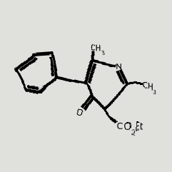 CCOC(=O)C1C(=O)C(c2ccccc2)=C(C)N=C1C